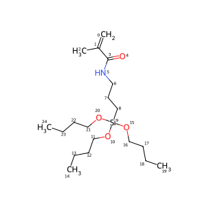 C=C(C)C(=O)NCCC[Si](OCCCC)(OCCCC)OCCCC